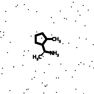 CC1CCCC1[C@@H](C)N